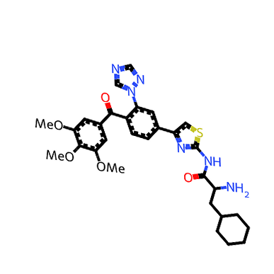 COc1cc(C(=O)c2ccc(-c3csc(NC(=O)C(N)CC4CCCCC4)n3)cc2-n2cncn2)cc(OC)c1OC